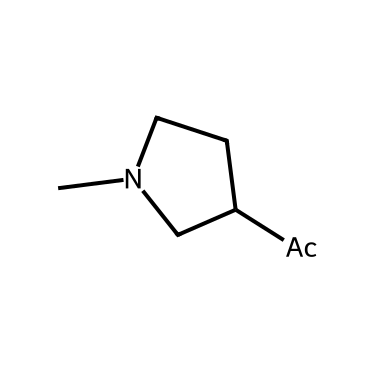 CC(=O)C1CCN(C)C1